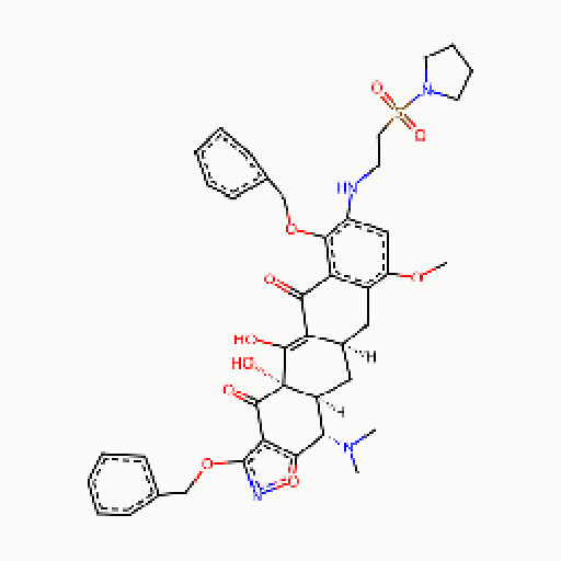 COc1cc(NCCS(=O)(=O)N2CCCC2)c(OCc2ccccc2)c2c1C[C@H]1C[C@H]3[C@H](N(C)C)c4onc(OCc5ccccc5)c4C(=O)[C@@]3(O)C(O)=C1C2=O